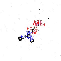 CO[C@H](COP(=O)(O)CP(=O)(O)O)[C@@H](O)[C@@H](O)n1cnc2c(NCc3ccccc3)nc(N3CCCC3)nc21